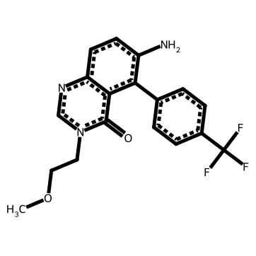 COCCn1cnc2ccc(N)c(-c3ccc(C(F)(F)F)cc3)c2c1=O